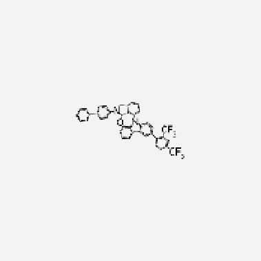 O=C1c2c(cccc2-n2c3ccccc3c3cc(-c4ccc(C(F)(F)F)cc4C(F)(F)F)ccc32)CN1c1ccc(-c2ccccc2)cc1